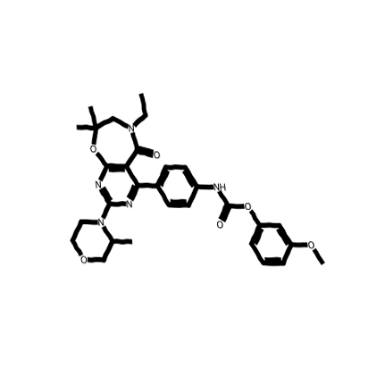 CCN1CC(C)(C)Oc2nc(N3CCOCC3C)nc(-c3ccc(NC(=O)Oc4cccc(OC)c4)cc3)c2C1=O